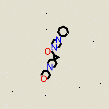 O=C(C1CC12CCN(C1CCOCC1)CC2)N1CCN(C2CCCCCC2)CC1